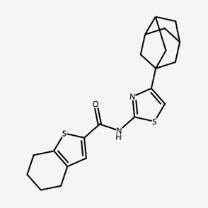 O=C(Nc1nc(C23CC4CC(C2)C(C4)C3)cs1)c1cc2c(s1)CCCC2